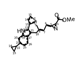 COC(=O)C1=NC/1=C\C=C(/C)Cc1c(-c2ccsc2)[nH]c2cc(C3CC3)ccc12